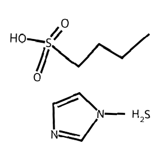 CCCCS(=O)(=O)O.Cn1ccnc1.S